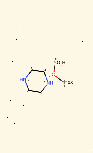 C1CNCCN1.CCCCCCOS(=O)(=O)O